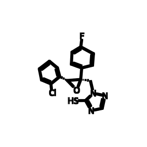 Fc1ccc([C@@]2(Cn3ncnc3S)O[C@@H]2c2ccccc2Cl)cc1